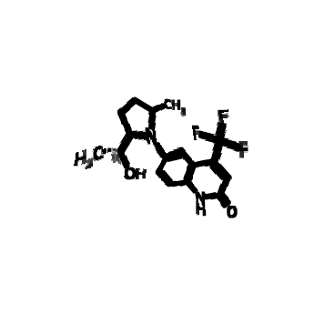 CC1CCC([C@@H](C)O)N1c1ccc2[nH]c(=O)cc(C(F)(F)F)c2c1